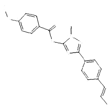 C/C=C/c1ccc(-c2nc(NC(=O)c3ccc(OC(F)(F)F)cc3)n(C)n2)cc1